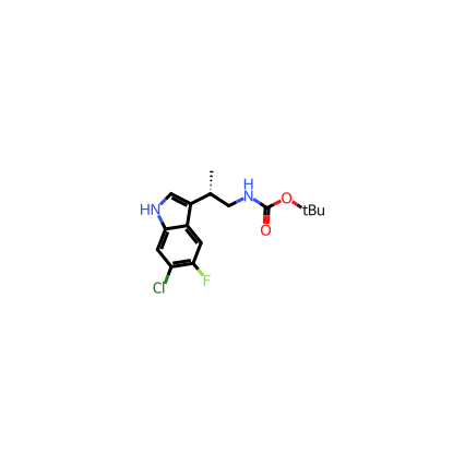 C[C@H](CNC(=O)OC(C)(C)C)c1c[nH]c2cc(Cl)c(F)cc12